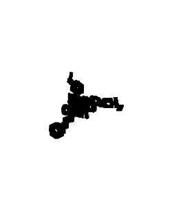 CCOC(=O)Cc1nc(NC(=O)CCCN2CCCCC2)cnc1-c1cccc(CI)c1